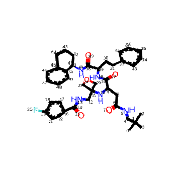 CC(C)(C)CNC(=O)CC(NC1(CNC(=O)c2ccc(F)cc2)COC1)C(=O)NC(CCc1ccccc1)C(=O)N[C@@H]1CCCc2ccccc21